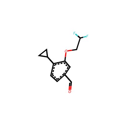 O=Cc1ccc(C2CC2)c(OCC(F)F)c1